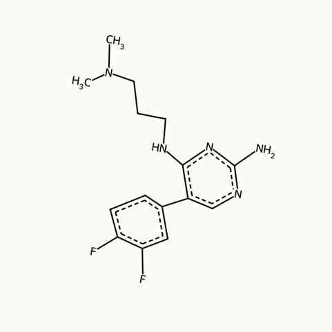 CN(C)CCCNc1nc(N)ncc1-c1ccc(F)c(F)c1